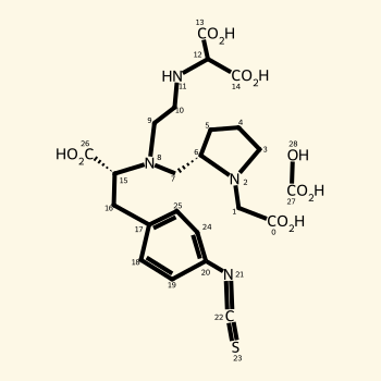 O=C(O)CN1CCC[C@H]1CN(CCNC(C(=O)O)C(=O)O)[C@H](Cc1ccc(N=C=S)cc1)C(=O)O.O=C(O)O